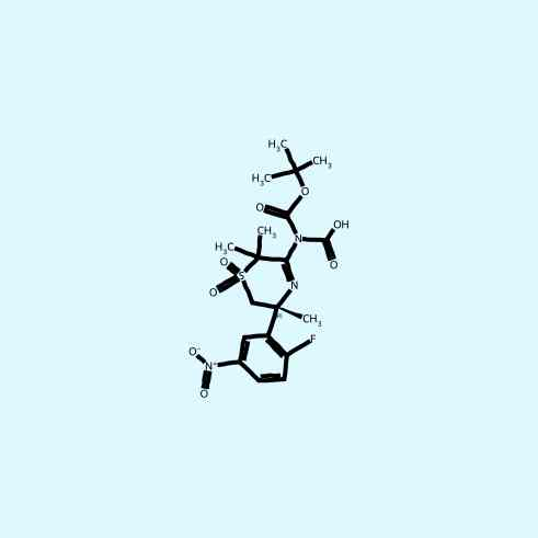 CC(C)(C)OC(=O)N(C(=O)O)C1=N[C@](C)(c2cc([N+](=O)[O-])ccc2F)CS(=O)(=O)C1(C)C